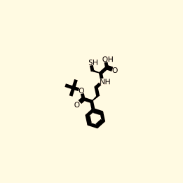 CC(C)(C)OC(=O)[C@@H](CCN[C@@H](CS)C(=O)O)c1ccccc1